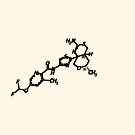 Cc1cc(OC(F)F)cnc1C(=O)Nc1csc(C23CO[C@@H](C)C[C@H]2CSC(N)=N3)n1